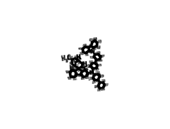 C[C@H]1C[C@@H]2C[C@H](C1)C1(c3ccccc3-c3ccc(N(c4ccc(-c5ccccc5)cc4)c4ccc(-c5cccc(-n6c7ccccc7c7ccccc76)c5)cc4)cc31)[C@H](C)C2